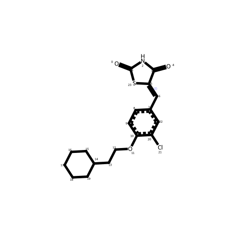 O=C1NC(=O)/C(=C/c2ccc(OCCC3CCCCC3)c(Cl)c2)S1